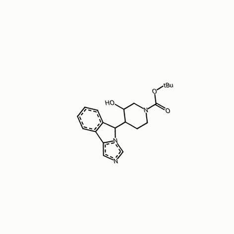 CC(C)(C)OC(=O)N1CCC(C2c3ccccc3-c3cncn32)C(O)C1